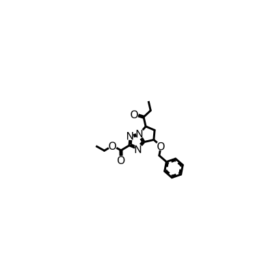 CCOC(=O)c1nc2n(n1)C(C(=O)CC)CC2OCc1ccccc1